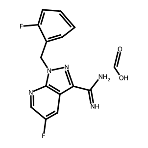 N=C(N)c1nn(Cc2ccccc2F)c2ncc(F)cc12.O=CO